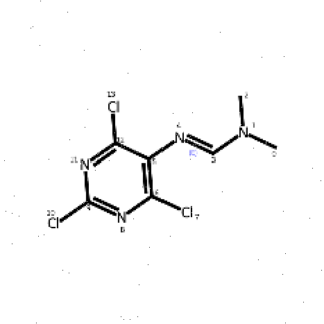 CN(C)/C=N/c1c(Cl)nc(Cl)nc1Cl